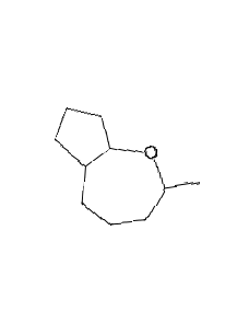 CC1CCCC2CCCC2O1